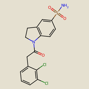 NS(=O)(=O)c1ccc2c(c1)CCN2C(=O)Cc1cccc(Cl)c1Cl